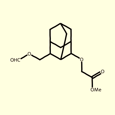 COC(=O)COC1C2CC3CC(C2)C(COC=O)C1C3